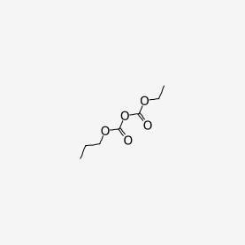 CCCOC(=O)OC(=O)OCC